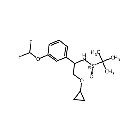 CC(C)(C)[S@@+]([O-])NC(COC1CC1)c1cccc(OC(F)F)c1